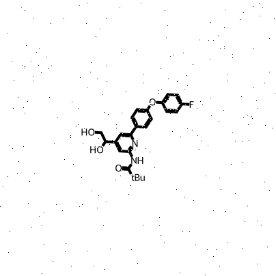 CC(C)(C)C(=O)Nc1cc(C(O)CO)cc(-c2ccc(Oc3ccc(F)cc3)cc2)n1